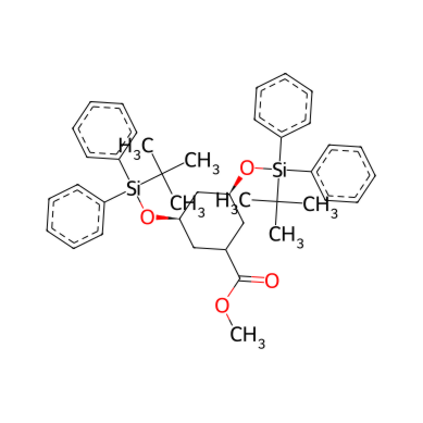 COC(=O)C1C[C@@H](O[Si](c2ccccc2)(c2ccccc2)C(C)(C)C)C[C@@H](O[Si](c2ccccc2)(c2ccccc2)C(C)(C)C)C1